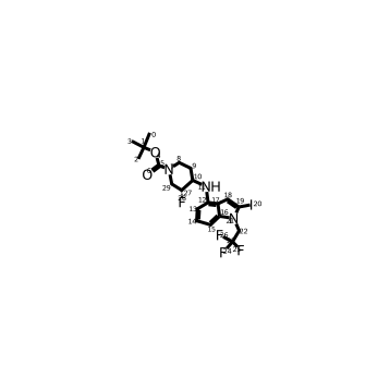 CC(C)(C)OC(=O)N1CCC(Nc2cccc3c2cc(I)n3CC(F)(F)F)[C@H](F)C1